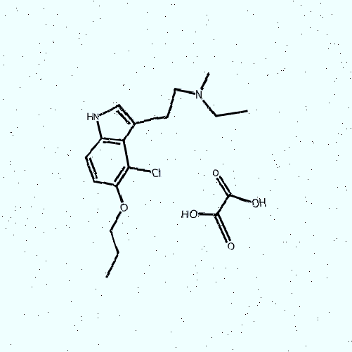 CCCOc1ccc2[nH]cc(CCN(C)CC)c2c1Cl.O=C(O)C(=O)O